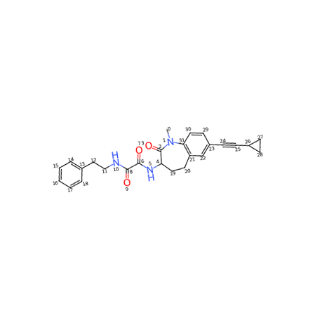 CN1C(=O)C(NC(=O)C(=O)NCCc2ccccc2)CCc2cc(C#CC3CC3)ccc21